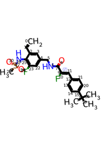 C=Cc1cc(CNC(=O)/C(F)=C/c2ccc(C(C)(C)C)cc2)cc(F)c1NS(C)(=O)=O